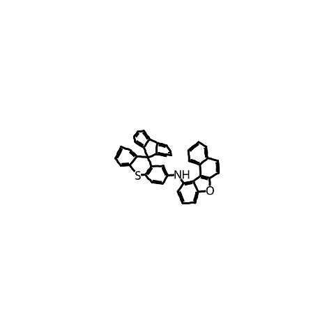 c1ccc2c(c1)Sc1ccc(Nc3cccc4oc5ccc6ccccc6c5c34)cc1C21c2ccccc2-c2ccccc21